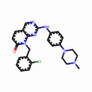 CN1CCN(c2ccc(Nc3ncc4ccc(=O)n(Cc5ccccc5Cl)c4n3)cc2)CC1